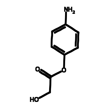 Nc1ccc(OC(=O)CO)cc1